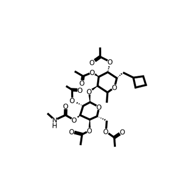 CNC(=O)O[C@@H]1[C@H](OC(C)=O)[C@@H](O[C@@H]2C(C)O[C@@H](CC3CCC3)[C@@H](OC(C)=O)[C@@H]2OC(C)=O)O[C@H](COC(C)=O)[C@H]1OC(C)=O